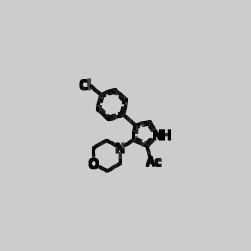 CC(=O)c1[nH]cc(-c2ccc(Cl)cc2)c1N1CCOCC1